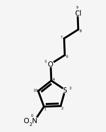 O=[N+]([O-])c1csc(OCCCCl)c1